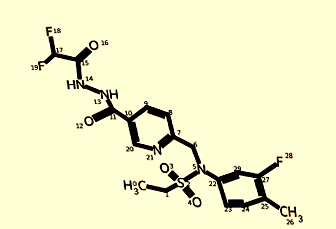 CCS(=O)(=O)N(Cc1ccc(C(=O)NNC(=O)C(F)F)cn1)c1ccc(C)c(F)c1